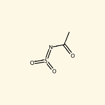 CC(=O)N=S(=O)=O